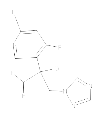 OC(Cn1cncn1)(c1ccc(F)cc1F)C(F)F